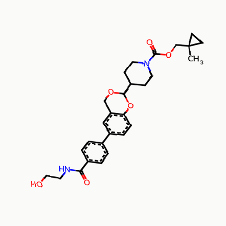 CC1(COC(=O)N2CCC(C3OCc4cc(-c5ccc(C(=O)NCCO)cc5)ccc4O3)CC2)CC1